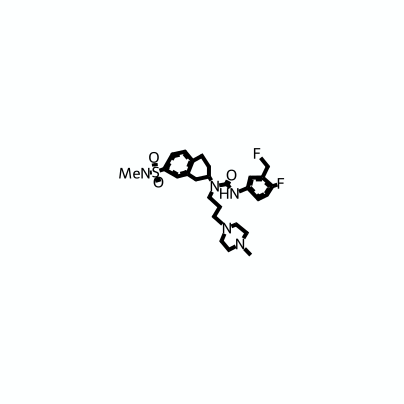 CNS(=O)(=O)c1ccc2c(c1)CC(N(CCCN1CCN(C)CC1)C(=O)Nc1ccc(F)c(CF)c1)CC2